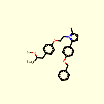 CCOC(=O)C(Cc1ccc(OCCn2c(C)ccc2-c2ccc(OCc3ccccc3)cc2)cc1)OCC